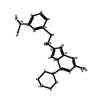 Cc1cc(C2CCOCC2)n2nc(NCc3cccc(C(F)F)c3)nc2n1